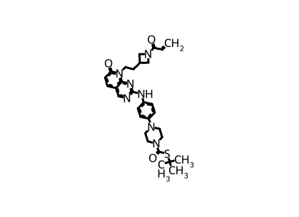 C=CC(=O)N1CC(CCn2c(=O)ccc3cnc(Nc4ccc(N5CCN(C(=O)SC(C)(C)C)CC5)cc4)nc32)C1